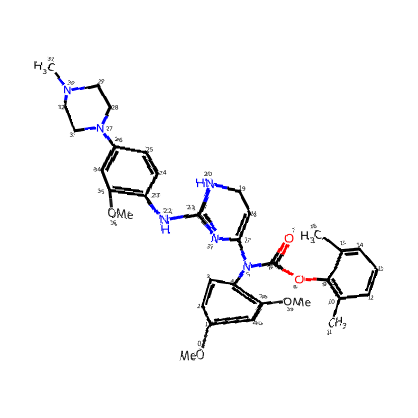 COc1ccc(N(C(=O)Oc2c(C)cccc2C)C2=CCNC(Nc3ccc(N4CCN(C)CC4)cc3OC)=N2)c(OC)c1